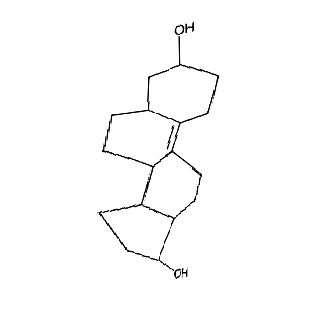 OC1CCC2=C3CCC4C(O)CCC4C3CCC2C1